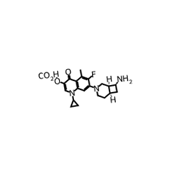 Cc1c(F)c(N2CC[C@@H]3C[C@H](N)[C@@H]3C2)cc2c1c(=O)c(OC(=O)O)cn2C1CC1